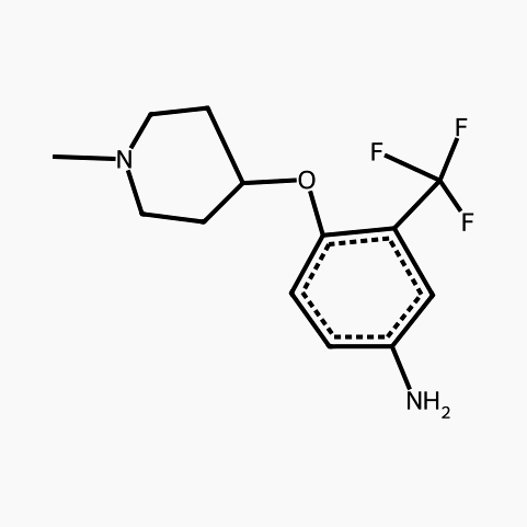 CN1CCC(Oc2ccc(N)cc2C(F)(F)F)CC1